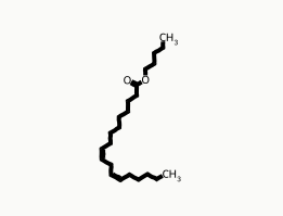 CCCCC/C=C\C/C=C\CCCCCCCC(=O)OCCCCC